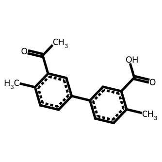 CC(=O)c1cc(-c2ccc(C)c(C(=O)O)c2)ccc1C